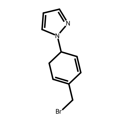 BrCC1=CCC(n2cccn2)C=C1